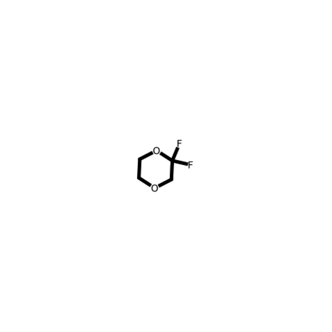 FC1(F)COCCO1